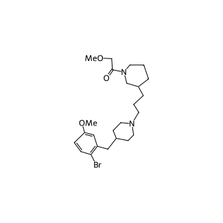 COCC(=O)N1CCCC(CCCN2CCC(Cc3cc(OC)ccc3Br)CC2)C1